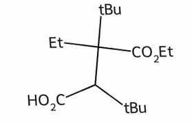 CCOC(=O)C(CC)(C(C(=O)O)C(C)(C)C)C(C)(C)C